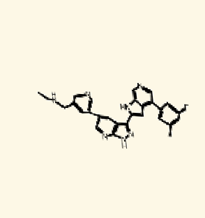 CCNCc1cncc(-c2cnc3[nH]nc(-c4cc5c(-c6cc(C)cc(F)c6)cncc5[nH]4)c3c2)c1